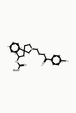 CNC(=O)OC1CC2(CCN(CCCC(=O)c3ccc(F)cc3)C2)c2ccccc21